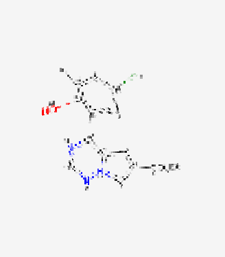 CCOC(=O)c1cc2c(-c3cc(Cl)cc(C)c3O)ncnn2c1